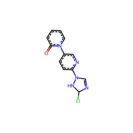 O=c1ccccn1-c1ccc(N2C=NC(Cl)N2)nc1